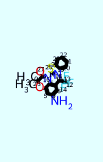 CC1(C)Oc2cc(N)cc(CC(F)(F)F)c2N(c2nc3ccccc3s2)C1=O